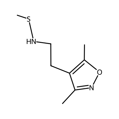 CSNCCc1c(C)noc1C